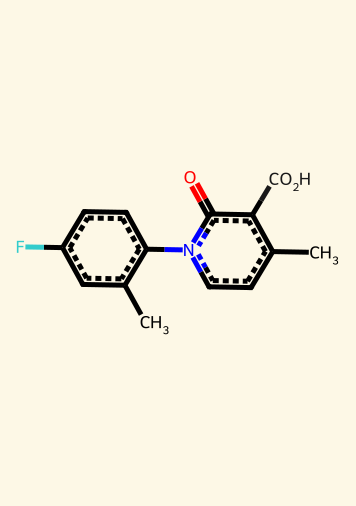 Cc1cc(F)ccc1-n1ccc(C)c(C(=O)O)c1=O